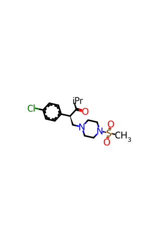 CC(C)C(=O)[C@@H](CN1CCN(S(C)(=O)=O)CC1)c1ccc(Cl)cc1